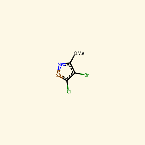 COc1nsc(Cl)c1Br